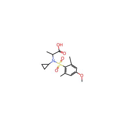 COc1cc(C)c(S(=O)(=O)N(C2CC2)C(C)C(=O)O)c(C)c1